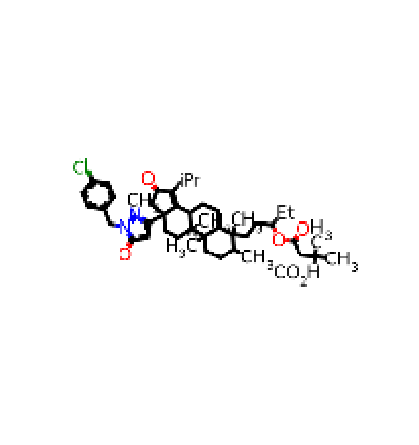 CCC(CCC1(C)C(C)CCC2(C)C1CCC1C3=C(C(C)C)C(=O)CC3(c3cc(=O)n(Cc4ccc(Cl)cc4)n3C)CC[C@]12C)OC(=O)CC(C)(C)C(=O)O